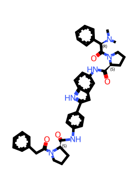 CN(C)[C@@H](C(=O)N1CCC[C@H]1C(=O)Nc1ccc2[nH]c(-c3ccc(NC(=O)[C@@H]4CCCN4C(=O)Cc4ccccc4)cc3)cc2c1)c1ccccc1